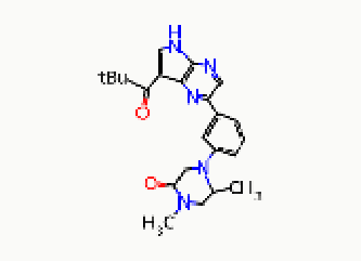 CC1CN(C)C(=O)CN1c1cccc(-c2cnc3[nH]cc(C(=O)C(C)(C)C)c3n2)c1